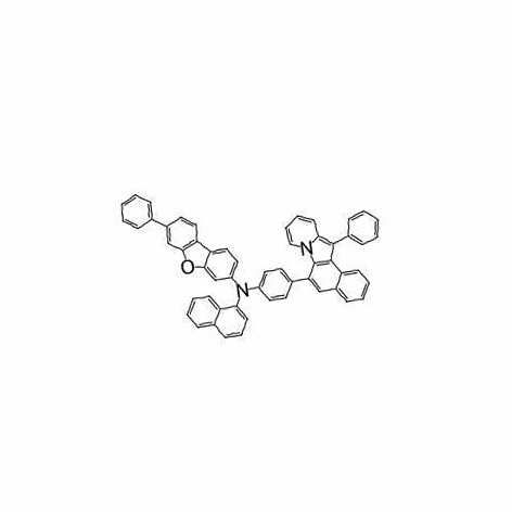 c1ccc(-c2ccc3c(c2)oc2cc(N(c4ccc(-c5cc6ccccc6c6c(-c7ccccc7)c7ccccn7c56)cc4)c4cccc5ccccc45)ccc23)cc1